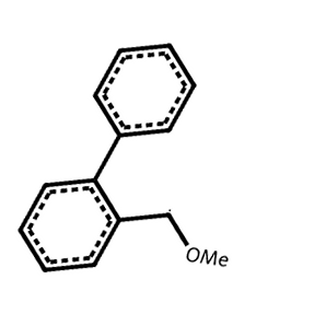 CO[CH]c1ccccc1-c1ccccc1